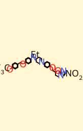 CCN(c1ccc(OCc2ccc(OC(F)(F)F)cc2)cc1)C1CCN(c2ccc(OCC3CCn4cc([N+](=O)[O-])nc4O3)cc2)CC1